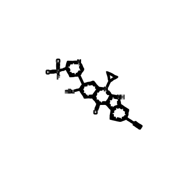 C#Cc1ccc2c(c1)[nH]c1c2c(=O)c2cc(CCCC)c(-c3cncc(S(=O)(=O)F)c3)cc2n1C1CC1